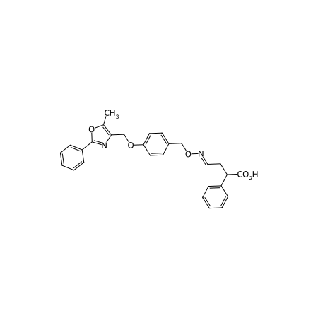 Cc1oc(-c2ccccc2)nc1COc1ccc(CON=CCC(C(=O)O)c2ccccc2)cc1